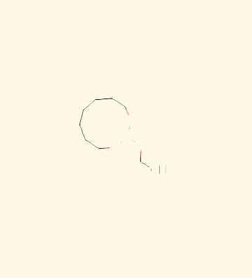 CCOB1OCCCCCCCO1